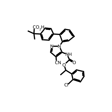 CC(OC(=O)Nc1c(C#N)cnn1-c1ccccc1-c1ccc(C(C)(C)C(=O)O)cc1)c1ccccc1Cl